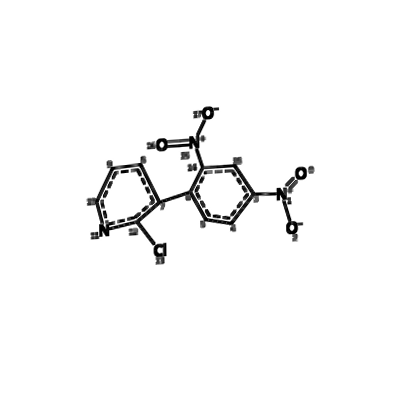 O=[N+]([O-])c1ccc(-c2cccnc2Cl)c([N+](=O)[O-])c1